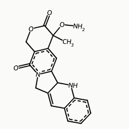 CC1(ON)C(=O)OCc2c1cc1n(c2=O)CC2=Cc3ccccc3NC21